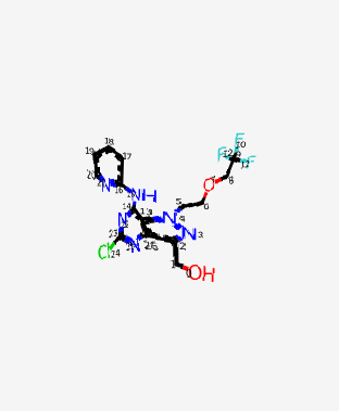 OCc1nn(CCOCC(F)(F)F)c2c(Nc3ccccn3)nc(Cl)nc12